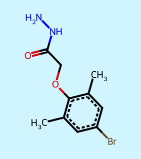 Cc1cc(Br)cc(C)c1OCC(=O)NN